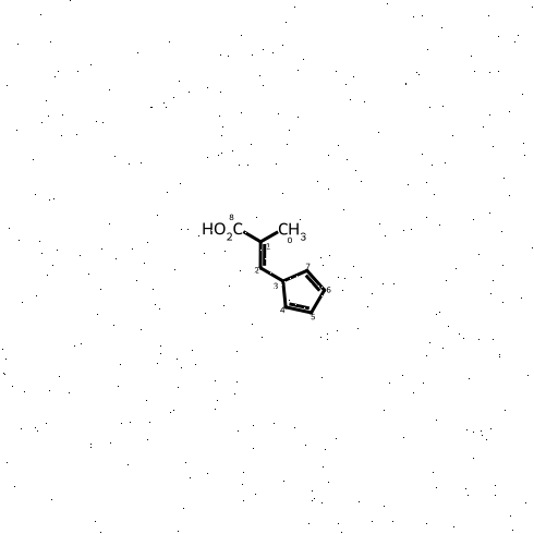 CC(=CC1C=CC=C1)C(=O)O